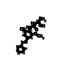 COc1cc(OCc2ccccc2)cc(Cl)c1NC(=O)NC(=N)N